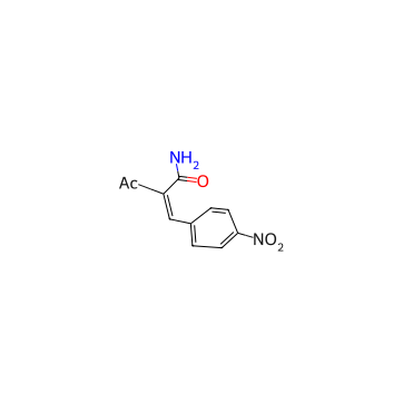 CC(=O)C(=Cc1ccc([N+](=O)[O-])cc1)C(N)=O